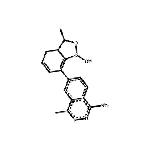 Cc1nnc(N)c2ccc(C3=C4B(O)OC(C)C4CC=C3)cc12